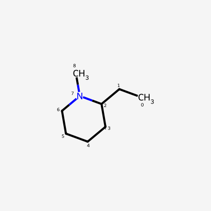 CCC1[CH]CCCN1C